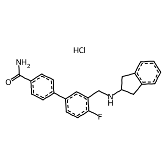 Cl.NC(=O)c1ccc(-c2ccc(F)c(CNC3Cc4ccccc4C3)c2)cc1